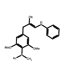 COc1cc(CC(C#N)=CNc2ccccc2)cc(OC)c1N(C)C(C)=O